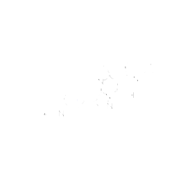 CC(C)Cn1c(=O)c(C(=O)NC2CC2)c(O)n2ncc(/C=C/C(=O)N3CCC[C@@H]3C(C)C)c12